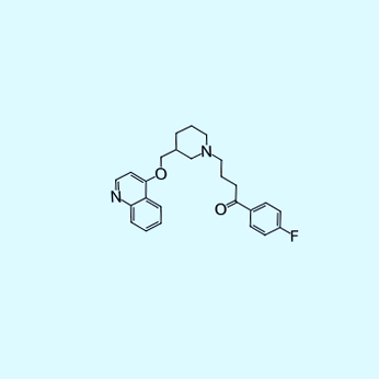 O=C(CCCN1CCCC(COc2ccnc3ccccc23)C1)c1ccc(F)cc1